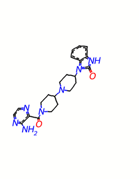 Nc1nccnc1C(=O)N1CCC(N2CCC(n3c(=O)[nH]c4ccccc43)CC2)CC1